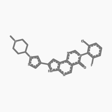 CN1CCC(n2cc(-c3cc4c(ncc5c(=O)n(-c6c(F)cccc6Cl)cnc54)[nH]3)cn2)CC1